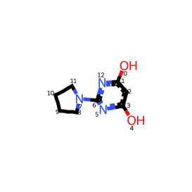 Oc1cc(O)nc(N2CCCC2)n1